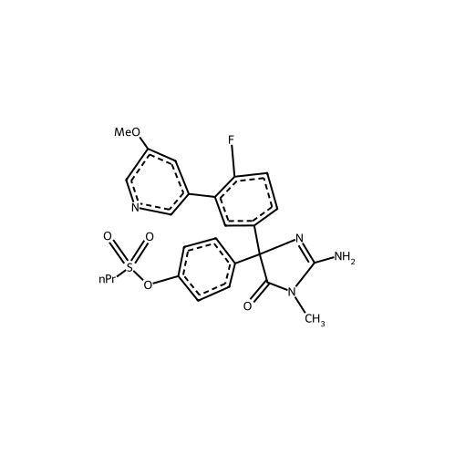 CCCS(=O)(=O)Oc1ccc(C2(c3ccc(F)c(-c4cncc(OC)c4)c3)N=C(N)N(C)C2=O)cc1